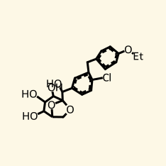 CCOc1ccc(Cc2cc(C(O)C34OCC(O3)C(O)C(O)C4O)ccc2Cl)cc1